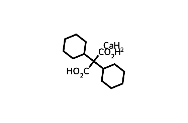 O=C(O)C(C(=O)O)(C1CCCCC1)C1CCCCC1.[CaH2]